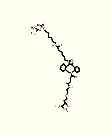 CC(C)OP(O)(=S)OCCCCCCNC(=O)CCCCCn1nnc2c1-c1ccccc1CN(C(=O)CCC(=O)NCCOCCC(=O)C(C)C)c1ccccc1-2